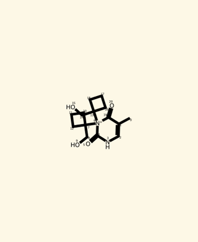 CC1=CNC(=O)[N+](C2(CO)CCC2)(C2(CO)CCC2)C1=O